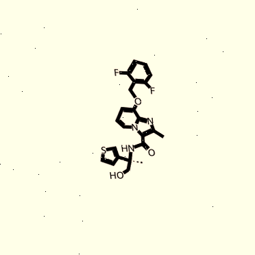 Cc1nc2c(OCc3c(F)cccc3F)cccn2c1C(=O)N[C@@](C)(CO)c1ccsc1